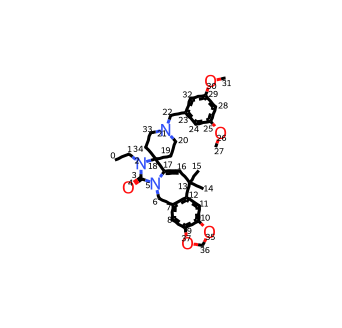 CCN1C(=O)N2Cc3cc4c(cc3C(C)(C)C=C2C12CCN(Cc1cc(OC)cc(OC)c1)CC2)OCO4